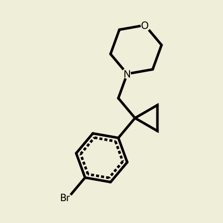 Brc1ccc(C2(CN3CCOCC3)CC2)cc1